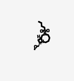 CCCCS(=O)(=O)N1CCCCN2[C@H](COC)C[C@@H]2C1